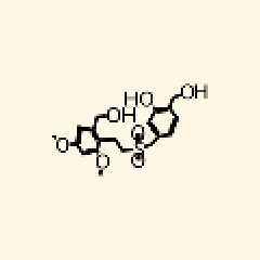 COc1cc(CO)c(CCS(=O)(=O)Cc2ccc(CO)c(O)c2)c(OC)c1